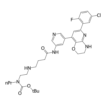 CCCN(CCNCCCC(=O)Nc1cncc(-c2cc(-c3cc(Cl)ccc3F)nc3c2OCCN3)c1)C(=O)OC(C)(C)C